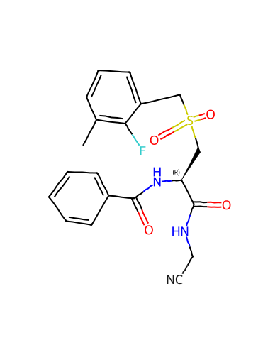 Cc1cccc(CS(=O)(=O)C[C@H](NC(=O)c2ccccc2)C(=O)NCC#N)c1F